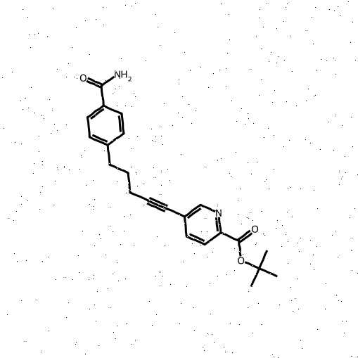 CC(C)(C)OC(=O)c1ccc(C#CCCCc2ccc(C(N)=O)cc2)cn1